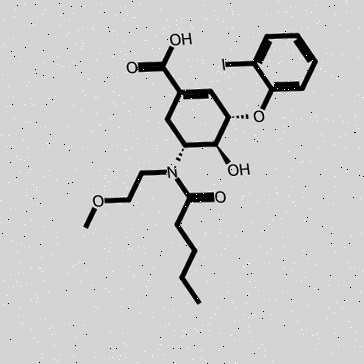 CCCCC(=O)N(CCOC)[C@@H]1CC(C(=O)O)=C[C@H](Oc2ccccc2I)[C@H]1O